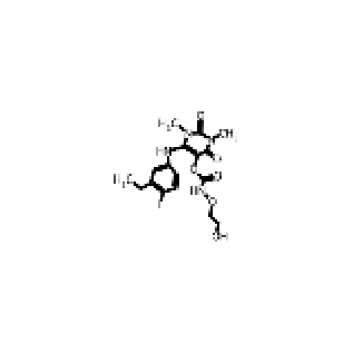 CCc1cc(Nc2c(OC(=O)NOCCO)c(=O)n(C)c(=O)n2C)ccc1I